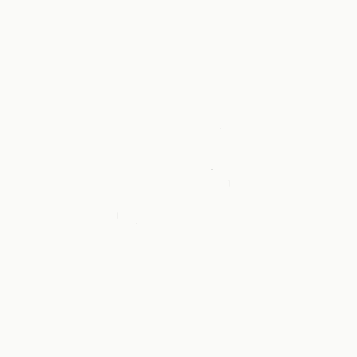 CCC1(CC=C(C)C(=O)O)COCOC1